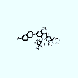 [2H]C([2H])([2H])C([2H])([2H])Sc1cc(N2CCc3cc(F)ccc3C2)cc(C)c1NC(=O)CC(C)(C)C